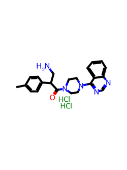 Cc1ccc(C(CN)C(=O)N2CCN(c3ncnc4ccccc34)CC2)cc1.Cl.Cl